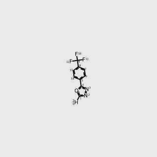 [2H]c1nnc(-c2ccc(C(F)(F)F)cc2)o1